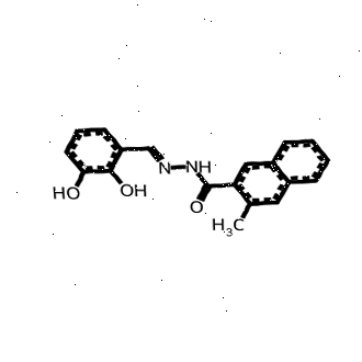 Cc1cc2ccccc2cc1C(=O)NN=Cc1cccc(O)c1O